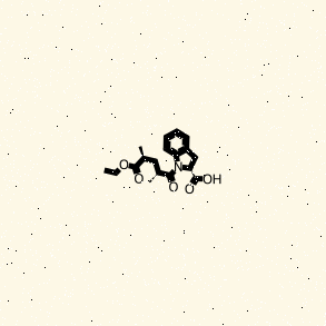 CCOC(=O)[C@@H](C)C[C@@H](C)C(=O)N1c2ccccc2C[C@@H]1C(=O)O